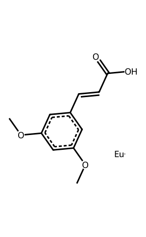 COc1cc(C=CC(=O)O)cc(OC)c1.[Eu]